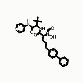 CC(C)(C)C(NC(=O)C(CCCc1ccc(-c2ccccc2)cc1)N(O)C=O)C(=O)Nc1ccncc1